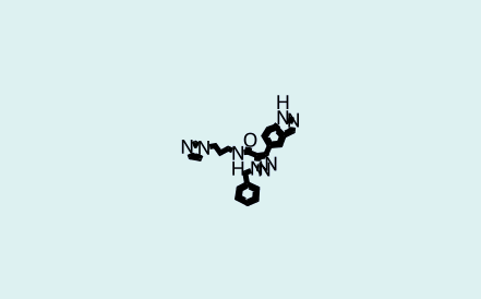 O=C(NCCCn1ccnc1)c1c(-c2ccc3[nH]ncc3c2)nnn1Cc1ccccc1